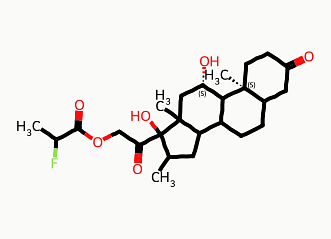 CC(F)C(=O)OCC(=O)C1(O)C(C)CC2C3CCC4CC(=O)CC[C@]4(C)C3[C@@H](O)CC21C